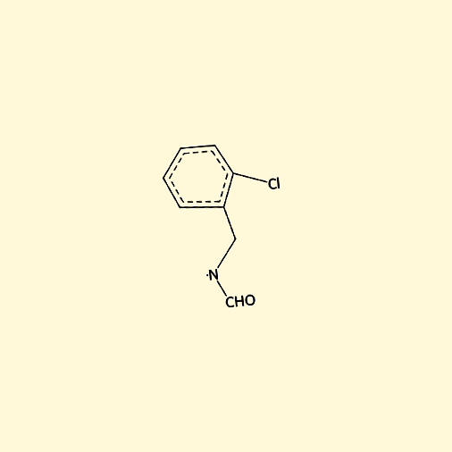 O=C[N]Cc1ccccc1Cl